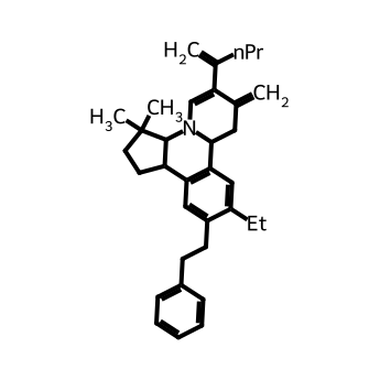 C=C(CCC)C1=CN2C(CC1=C)c1cc(CC)c(CCc3ccccc3)cc1C1CCC(C)(C)C12